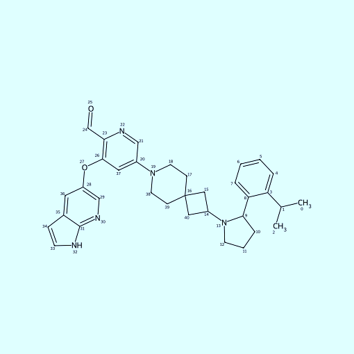 CC(C)c1ccccc1C1CCCN1C1CC2(CCN(c3cnc(C=O)c(Oc4cnc5[nH]ccc5c4)c3)CC2)C1